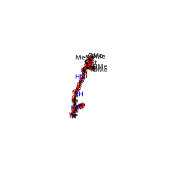 CC[C@H](C(=O)N1CCCC[C@H]1C(=O)OC(CCc1ccc(OC)c(OC)c1)c1cccc(OCC(=O)NCCOCCOCCOCCC(=O)NCCOc2ccc(CCc3nc4cc(-c5c(C)noc5C)ccc4n3CCN3CCOCC3)cc2)c1)c1cc(OC)c(OC)c(OC)c1